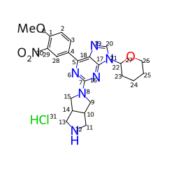 COc1ccc(-c2nc(N3CC4CNCC4C3)nc3c2ncn3C2CCCCO2)cc1[N+](=O)[O-].Cl